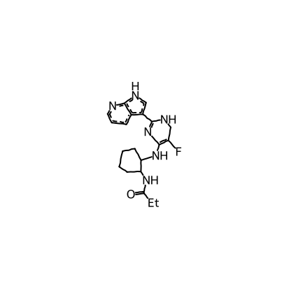 CCC(=O)NC1CCCCC1NC1=C(F)CNC(c2c[nH]c3ncccc23)=N1